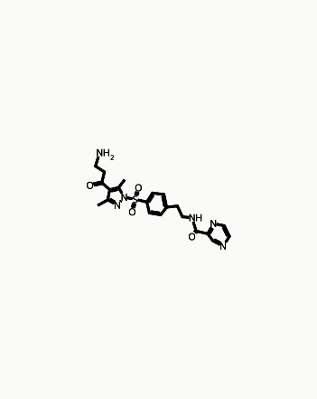 Cc1nn(S(=O)(=O)c2ccc(CCNC(=O)c3cnccn3)cc2)c(C)c1C(=O)CCN